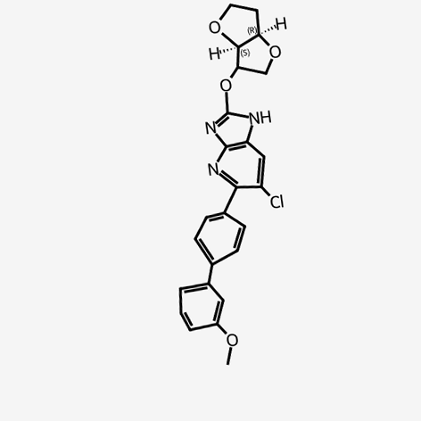 COc1cccc(-c2ccc(-c3nc4nc(OC5CO[C@@H]6CCO[C@H]56)[nH]c4cc3Cl)cc2)c1